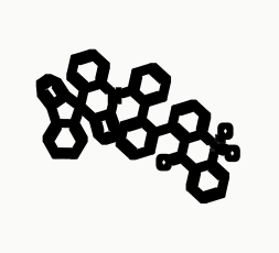 O=C1c2ccccc2S(=O)(=O)c2cccc(-c3ccccc3-c3ccccc3N3c4ccccc4C4(c5ccccc5-c5ccccc54)c4ccccc43)c21